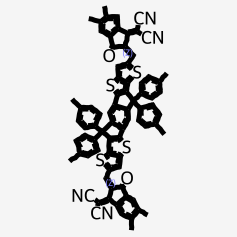 Cc1ccc(C2(c3ccc(C)cc3)c3cc4c(cc3-c3sc5cc(/C=C6\C(=O)c7cc(C)c(C)cc7C6=C(C#N)C#N)sc5c32)C(c2ccc(C)cc2)(c2ccc(C)cc2)c2c-4sc3cc(/C=C4\C(=O)c5cc(C)c(C)cc5C4=C(C#N)C#N)sc23)cc1